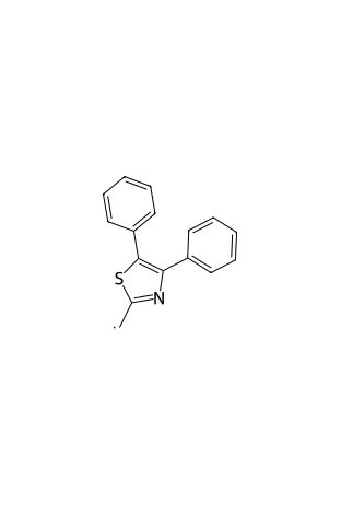 [CH2]c1nc(-c2ccccc2)c(-c2ccccc2)s1